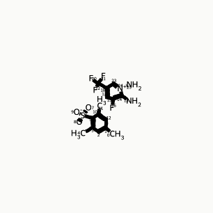 Cc1cc(C)c(S(=O)(=O)[O-])c(C)c1.Nc1c(F)cc(C(F)(F)F)c[n+]1N